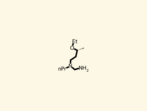 CCCN(CN)CC[C@@H](C)OCC